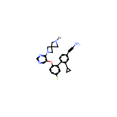 CCN1CC2(C1)CN(c1ncncc1Oc1ccc(F)cc1-c1ccc(C#CN)cc1C1CC1)C2